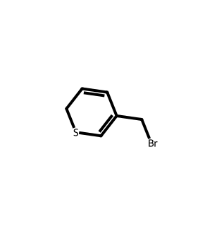 BrCC1=CSCC=C1